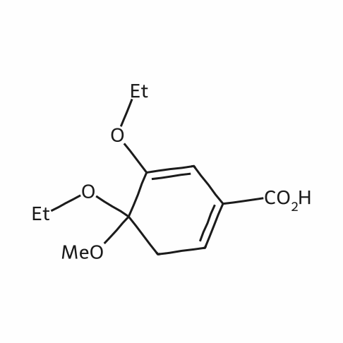 CCOC1=CC(C(=O)O)=CCC1(OC)OCC